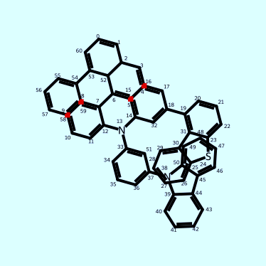 C1=CC2C=CC=C(c3ccccc3N(c3cccc(-c4cccc5sc6ccccc6c45)c3)c3cccc(-n4c5ccccc5c5ccccc54)c3)C2C(c2ccccc2)=C1